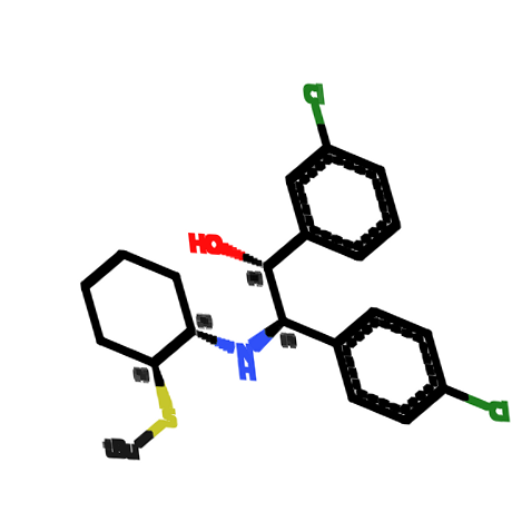 CC(C)(C)S[C@H]1CCCC[C@@H]1N[C@H](c1ccc(Cl)cc1)[C@H](O)c1cccc(Cl)c1